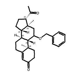 CC(=O)[C@H]1CC[C@H]2[C@@H]3CCC4=CC(=O)CC[C@]4(C)[C@H]3C(OCc3ccccc3)C[C@]12C